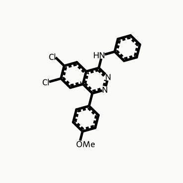 COc1ccc(-c2nnc(Nc3ccccc3)c3cc(Cl)c(Cl)cc23)cc1